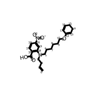 C=CCCN(CCCCCCOC1=CC[CH]C=C1)c1cc([N+](=O)[O-])ccc1C(=O)O